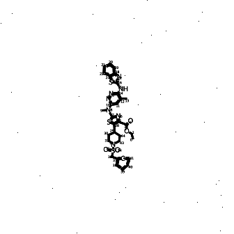 CCOC(=O)c1nc(N(C)c2cc(C)c(Nc3nc4ccccc4s3)nn2)sc1C1CCN(S(=O)(=O)Cc2ccccc2)CC1